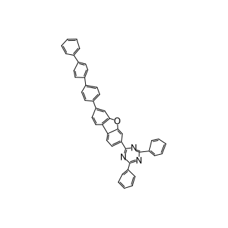 c1ccc(-c2ccc(-c3ccc(-c4ccc5c(c4)oc4cc(-c6nc(-c7ccccc7)nc(-c7ccccc7)n6)ccc45)cc3)cc2)cc1